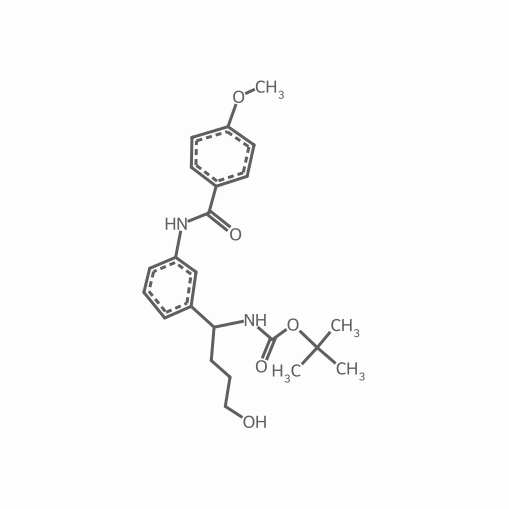 COc1ccc(C(=O)Nc2cccc(C(CCCO)NC(=O)OC(C)(C)C)c2)cc1